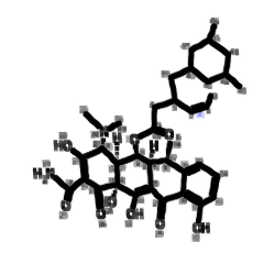 C/C=C\C(CC(=O)O[C@H]1[C@@H]2C(=C(O)[C@@]3(O)C(=O)C(C(N)=O)=C(O)[C@H](N(C)C)[C@@H]13)C(=O)c1c(O)cccc1[C@@H]2C)CC1CC(C)CC(C)C1